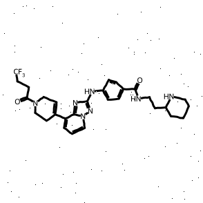 O=C(NCCC1CCCCN1)c1ccc(Nc2nc3c(C4=CCN(C(=O)CCC(F)(F)F)CC4)cccn3n2)cc1